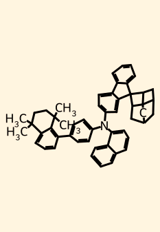 CC1(C)CCC(C)(C)c2c(-c3ccc(N(c4ccc5c(c4)C4(c6ccccc6-5)C5CC6CC7CC4C75C6)c4cccc5ccccc45)cc3)cccc21